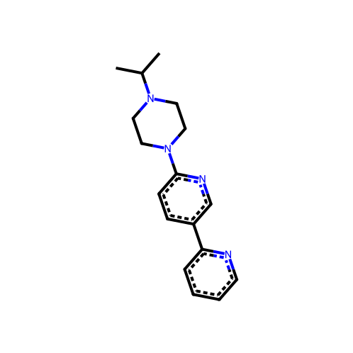 CC(C)N1CCN(c2ccc(-c3ccccn3)cn2)CC1